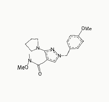 COc1ccc(Cn2cc(C(=O)N(C)OC)c(N3CCCC3)n2)cc1